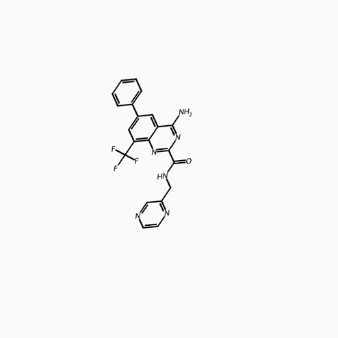 Nc1nc(C(=O)NCc2cnccn2)nc2c(C(F)(F)F)cc(-c3ccccc3)cc12